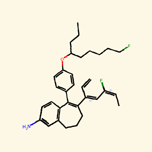 C=C/C(=C\C(F)=C/C)C1=C(c2ccc(OC(CCC)CCCCCF)cc2)c2ccc(N)cc2CCC1